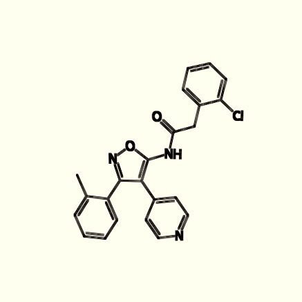 Cc1ccccc1-c1noc(NC(=O)Cc2ccccc2Cl)c1-c1ccncc1